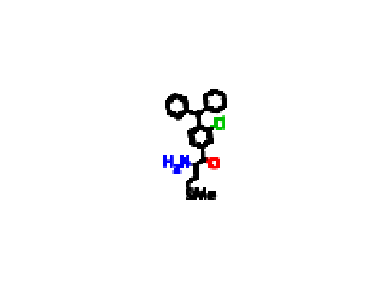 CSCC[C@H](N)C(=O)c1ccc([C](c2ccccc2)c2ccccc2)c(Cl)c1